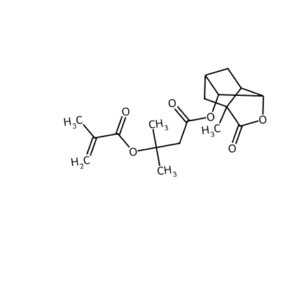 C=C(C)C(=O)OC(C)(C)CC(=O)OC1C2CC3C1OC(=O)C3(C)C2